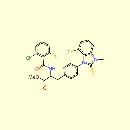 COC(=O)C(Cc1ccc(-n2c(=S)n(C)c3cccc(Cl)c32)cc1)NC(=O)c1c(F)cccc1Cl